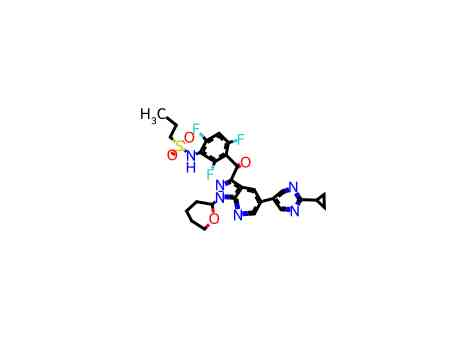 CCCS(=O)(=O)Nc1c(F)cc(F)c(C(=O)c2nn(C3CCCCO3)c3ncc(-c4cnc(C5CC5)nc4)cc23)c1F